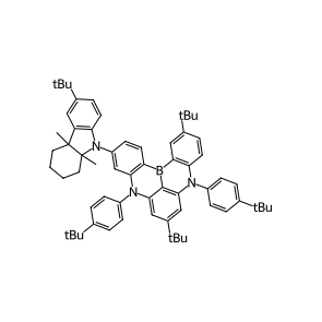 CC(C)(C)c1ccc(N2c3ccc(C(C)(C)C)cc3B3c4ccc(N5c6ccc(C(C)(C)C)cc6C6(C)CCCCC56C)cc4N(c4ccc(C(C)(C)C)cc4)c4cc(C(C)(C)C)cc2c43)cc1